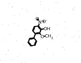 COc1c(-c2ccccc2)ccc([N+](=O)[O-])c1O